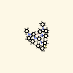 c1ccc(N(c2cc3c4c(c2)N(c2ccccc2)c2c(ccc5c2c2ccccc2n5-c2ccccc2)B4c2ccc4c(c2N3c2ccccc2)c2ccccc2n4-c2ccccc2)c2cccc3sc4ccccc4c23)cc1